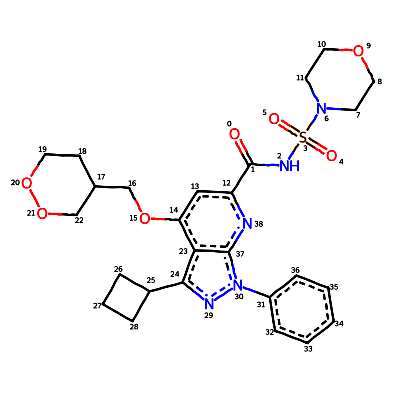 O=C(NS(=O)(=O)N1CCOCC1)c1cc(OCC2CCOOC2)c2c(C3CCC3)nn(-c3ccccc3)c2n1